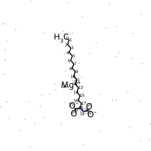 CCCCCCCCCCCCCCCCCC/C(=C\C(=O)[O-])C(=O)[O-].[Mg+2]